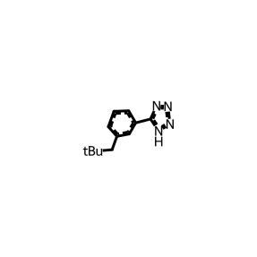 CC(C)(C)Cc1cccc(-c2nnn[nH]2)c1